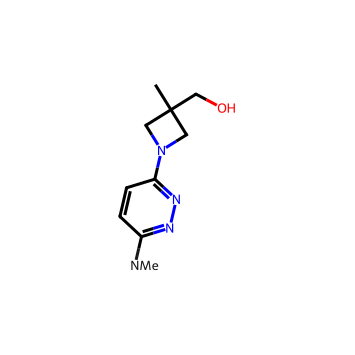 CNc1ccc(N2CC(C)(CO)C2)nn1